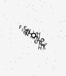 O=C(Nc1ccc(-c2noc(C(F)(F)F)n2)cc1)C(=O)NC1CC1